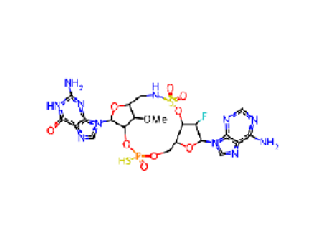 COC1C2CNS(=O)(=O)OC3C(COP(=O)(S)OC1C(n1cnc4c(=O)[nH]c(N)nc41)O2)OC(n1cnc2c(N)ncnc21)C3F